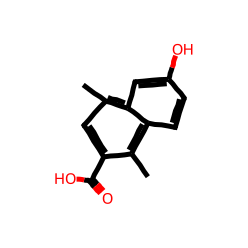 Cc1cc(C(=O)O)c(C)c2ccc(O)cc12